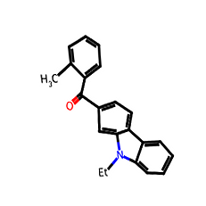 CCn1c2ccccc2c2ccc(C(=O)c3ccccc3C)cc21